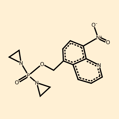 O=[N+]([O-])c1ccc(COP(=O)(N2CC2)N2CC2)c2cccnc12